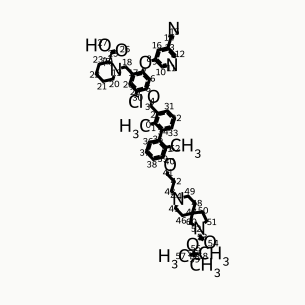 Cc1c(COc2cc(Oc3cncc(C#N)c3)c(CN3CCCC[C@H]3C(=O)O)cc2Cl)cccc1-c1cccc(OCCCN2CCC3(CC2)CCN(C(=O)OC(C)(C)C)C3)c1C